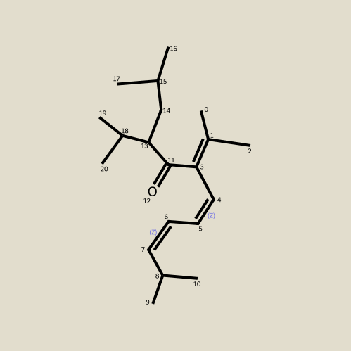 CC(C)=C(/C=C\C=C/C(C)C)C(=O)C(CC(C)C)C(C)C